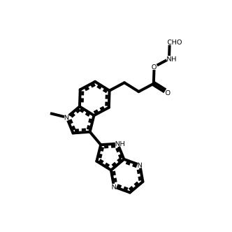 Cn1cc(-c2cc3nccnc3[nH]2)c2cc(CCC(=O)ONC=O)ccc21